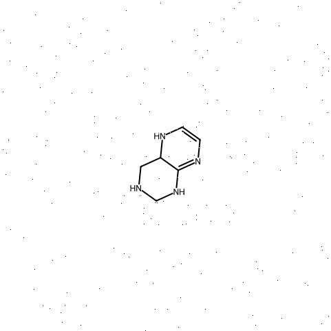 [C]1NCC2NC=CN=C2N1